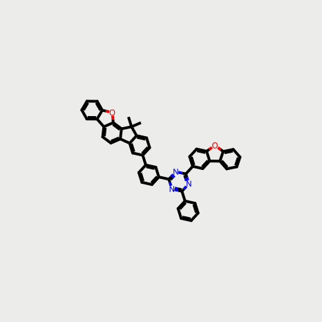 CC1(C)c2ccc(-c3cccc(-c4nc(-c5ccccc5)nc(-c5ccc6oc7ccccc7c6c5)n4)c3)cc2-c2ccc3c(oc4ccccc43)c21